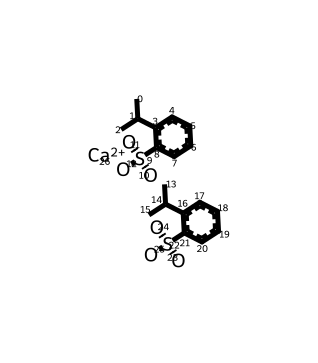 CC(C)c1ccccc1S(=O)(=O)[O-].CC(C)c1ccccc1S(=O)(=O)[O-].[Ca+2]